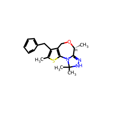 Cc1sc2c(c1Cc1ccccc1)CO[C@H](C)C1=NNC(C)(C)N12